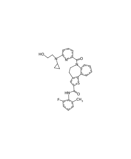 Cc1cccc(F)c1NC(=O)c1cc2c(s1)-c1ccccc1N(C(=O)c1cccc(N(CCO)C3CC3)n1)CC2